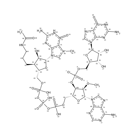 CO[C@@H]1[C@H](OP(=O)([O-])OC[C@H]2O[C@@H](n3cnc4c(=O)[nH]c(N)nc43)[C@H](O)[C@@H]2O)[C@@H](COP(=O)(O)OP(=O)(O)OP(=O)(O)OC[C@H]2O[C@@H](n3c[n+](C)c4c(=O)[nH]c(N)nc43)[C@H](O)[C@@H]2CCCNC(C)=O)O[C@H]1n1cnc2c(N)ncnc21